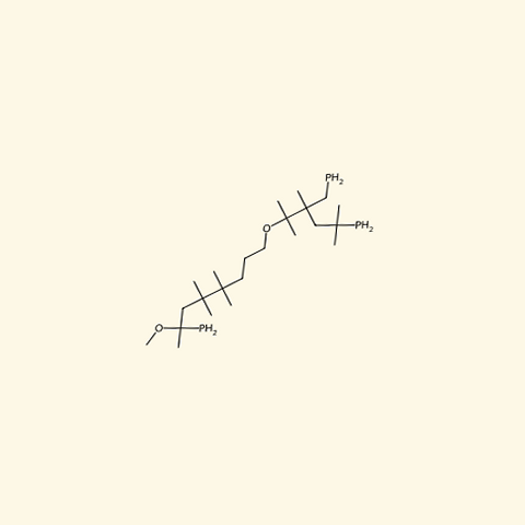 COC(C)(P)CC(C)(C)C(C)(C)CCCOC(C)(C)C(C)(CP)CC(C)(C)P